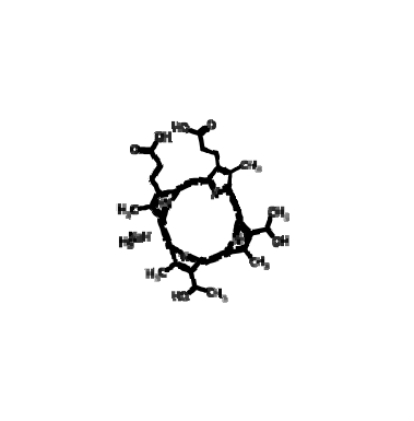 CC1=C(CCC(=O)O)c2cc3[nH]c(cc4nc(cc5[nH]c(cc1n2)c(C(C)O)c5C)C(C(C)O)=C4C)c(C)c3CCC(=O)O.[Hg].[NaH]